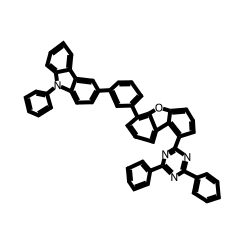 c1ccc(-c2nc(-c3ccccc3)nc(-c3cccc4oc5c(-c6cccc(-c7ccc8c(c7)c7ccccc7n8-c7ccccc7)c6)cccc5c34)n2)cc1